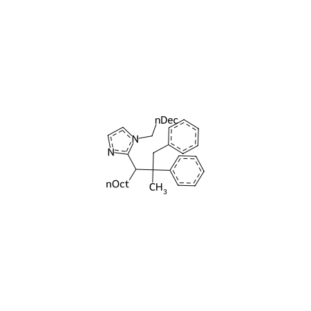 CCCCCCCCCCCn1ccnc1C(CCCCCCCC)C(C)(Cc1ccccc1)c1ccccc1